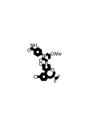 CO[C@@H](C)C[C@@H](C(=O)Nc1ccc(C(N)=O)cc1)n1cc2c(cc1=O)-c1cc(Cl)ccc1C[C@@H](C(F)F)CO2